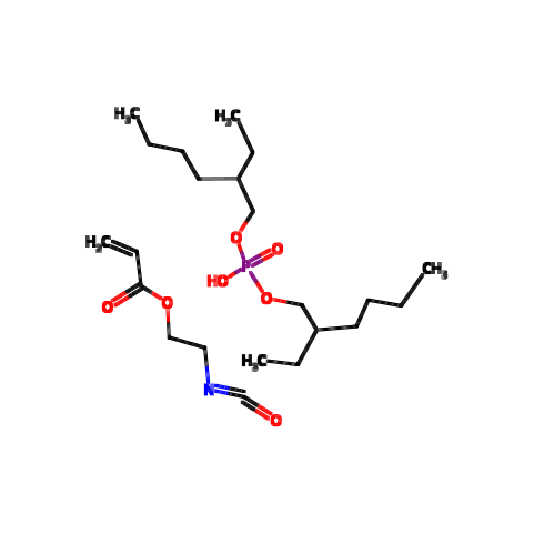 C=CC(=O)OCCN=C=O.CCCCC(CC)COP(=O)(O)OCC(CC)CCCC